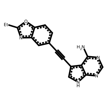 CCc1nc2cc(C#Cc3c[nH]c4ncnc(N)c34)ccc2o1